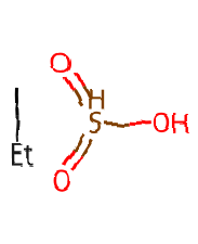 CCC.O=[SH](=O)O